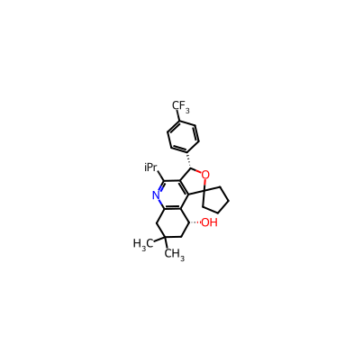 CC(C)c1nc2c(c3c1[C@H](c1ccc(C(F)(F)F)cc1)OC31CCCC1)[C@H](O)CC(C)(C)C2